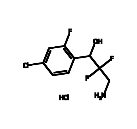 Cl.NCC(F)(F)C(O)c1ccc(Cl)cc1F